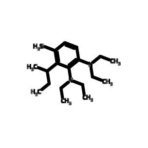 CCC(C)c1c([SiH3])ccc(N(CC)CC)c1N(CC)CC